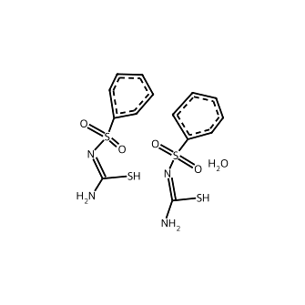 NC(S)=NS(=O)(=O)c1ccccc1.NC(S)=NS(=O)(=O)c1ccccc1.O